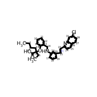 CCCCC(CC)(Oc1ccccc1CNc1cccc(/C=C/c2ccc3ccc(Cl)cc3n2)c1)C(=O)O